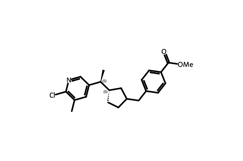 COC(=O)c1ccc(CC2CC[C@H]([C@H](C)c3cnc(Cl)c(C)c3)C2)cc1